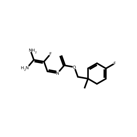 C=C(/N=C\C(F)=C(N)N)OCC1(C)C=CC(F)=CC1